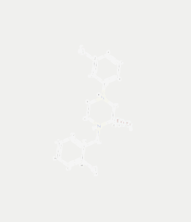 Br.Br.Clc1cccc(N2CCN(Cc3ccccc3Cl)CC2)c1